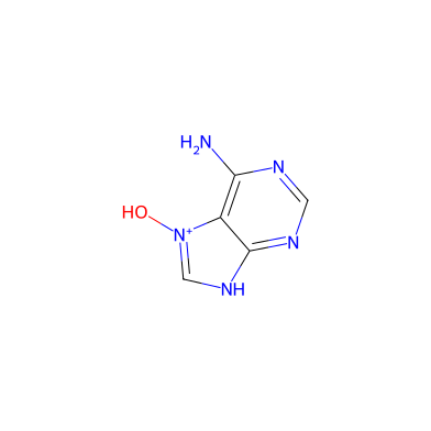 Nc1ncnc2[nH]c[n+](O)c12